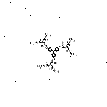 CCOC(=O)CN(CC(=O)OCC)CC(O)COc1ccc(C(c2ccc(OCC(O)CN(CC(=O)OCC)CC(=O)OCC)cc2)c2ccc(OCC(O)CN(CC(=O)OCC)CC(=O)OCC)cc2)cc1